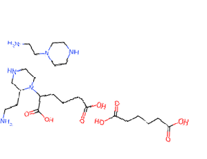 NCCC1CNCCN1C(CCCC(=O)O)C(=O)O.NCCN1CCNCC1.O=C(O)CCCCC(=O)O